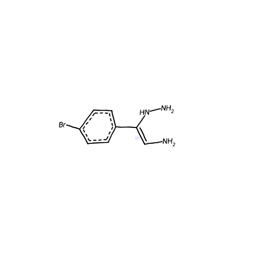 N/C=C(\NN)c1ccc(Br)cc1